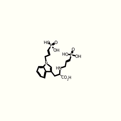 O=C(O)[C@H](Cc1cn(CC=CP(=O)(O)O)c2ccccc12)NCC=CP(=O)(O)O